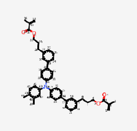 C=C(C)C(=O)OCCCc1cccc(-c2ccc(N(c3ccc(-c4cccc(CCCOC(=O)C(=C)C)c4)cc3)c3ccc(C)c(C)c3)cc2)c1